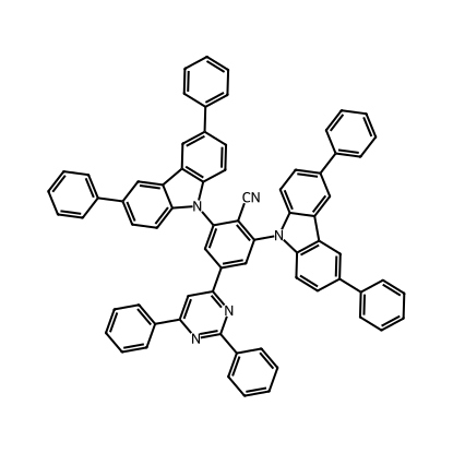 N#Cc1c(-n2c3ccc(-c4ccccc4)cc3c3cc(-c4ccccc4)ccc32)cc(-c2cc(-c3ccccc3)nc(-c3ccccc3)n2)cc1-n1c2ccc(-c3ccccc3)cc2c2cc(-c3ccccc3)ccc21